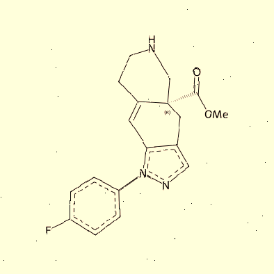 COC(=O)[C@@]12CNCCC1=Cc1c(cnn1-c1ccc(F)cc1)C2